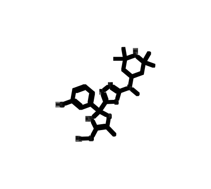 CCOC1=C(C)OC(c2cccc(O)c2)(c2nnc(N(C)C3CC(C)(C)NC(C)(C)C3)s2)N1